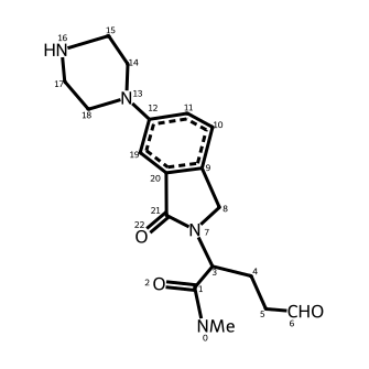 CNC(=O)C(CCC=O)N1Cc2ccc(N3CCNCC3)cc2C1=O